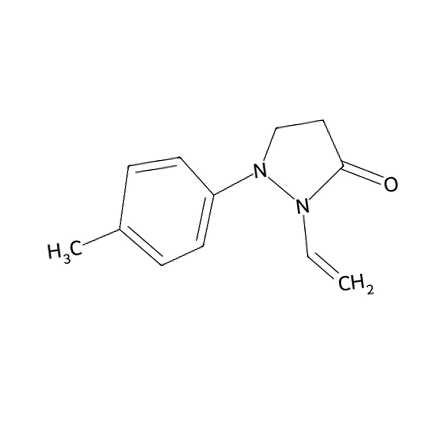 C=CN1C(=O)CCN1c1ccc(C)cc1